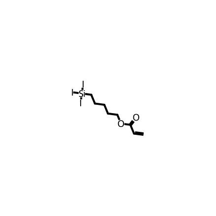 C=CC(=O)OCCCCC[Si](I)(I)I